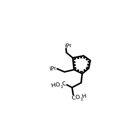 CC(C)Cc1cccc(CC(C(=O)O)C(=O)O)c1CC(C)C